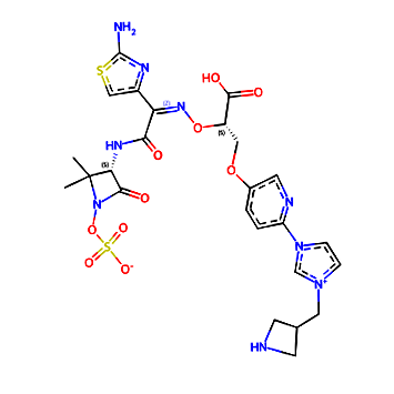 CC1(C)[C@H](NC(=O)/C(=N\O[C@@H](COc2ccc(-n3cc[n+](CC4CNC4)c3)nc2)C(=O)O)c2csc(N)n2)C(=O)N1OS(=O)(=O)[O-]